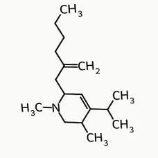 C=C(CCCC)CC1C=C(C(C)C)C(C)CN1C